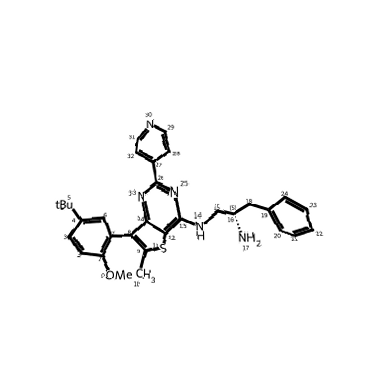 COc1ccc(C(C)(C)C)cc1-c1c(C)sc2c(NC[C@@H](N)Cc3ccccc3)nc(-c3ccncc3)nc12